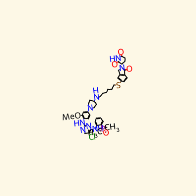 COc1cc(N2CCC(NCCCCCCSc3ccc4c(c3)CN(C3CCC(=O)NC3=O)C4=O)CC2)ccc1Nc1ncc(Cl)c(Nc2ccccc2P(C)(C)=O)n1